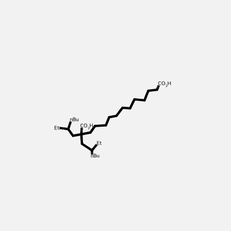 CCCCC(CC)CC(CCCCCCCCCCCC(=O)O)(CC(CC)CCCC)C(=O)O